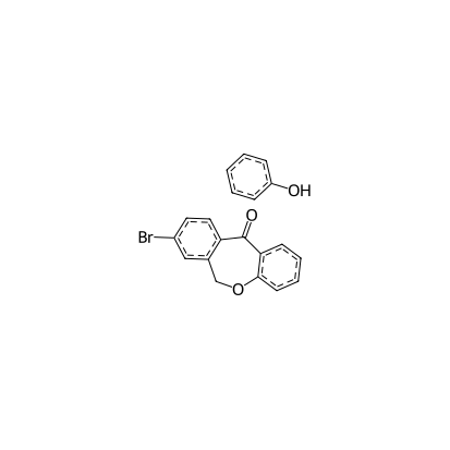 O=C1c2ccc(Br)cc2COc2ccccc21.Oc1ccccc1